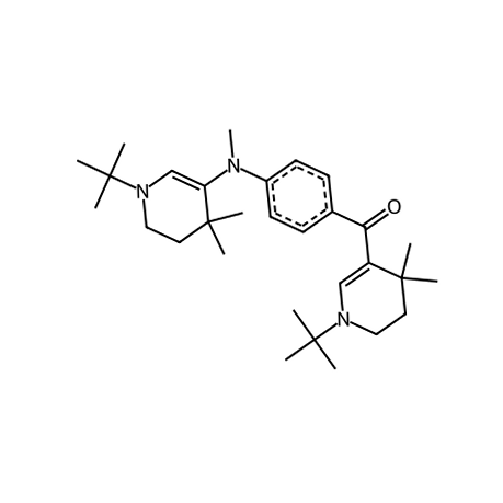 CN(C1=CN(C(C)(C)C)CCC1(C)C)c1ccc(C(=O)C2=CN(C(C)(C)C)CCC2(C)C)cc1